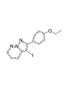 CCOc1ccc(-c2nn3ncccc3c2I)cc1